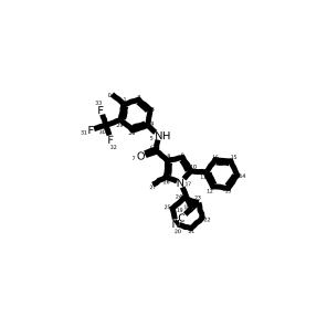 Cc1ccc(NC(=O)c2cc(-c3ccccc3)n(C3CN4CCC3CC4)c2C)cc1C(F)(F)F